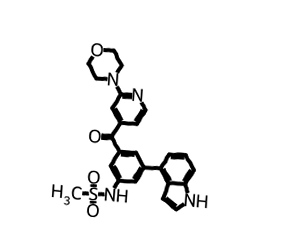 CS(=O)(=O)Nc1cc(C(=O)c2ccnc(N3CCOCC3)c2)cc(-c2cccc3[nH]ccc23)c1